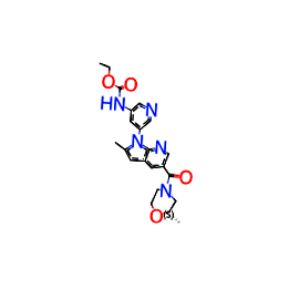 CCOC(=O)Nc1cncc(-n2c(C)cc3cc(C(=O)N4CCO[C@@H](C)C4)cnc32)c1